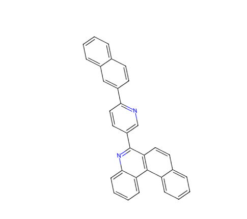 c1ccc2cc(-c3ccc(-c4nc5ccccc5c5c4ccc4ccccc45)cn3)ccc2c1